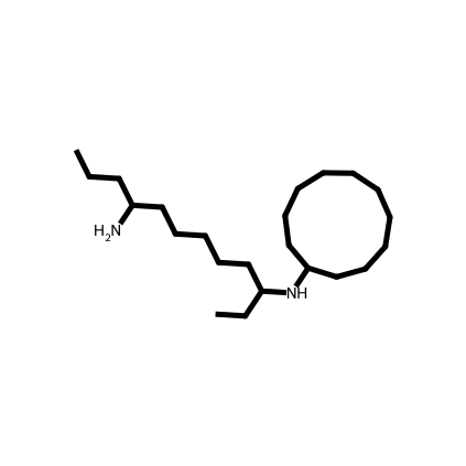 CCCC(N)CCCCCC(CC)NC1CCCCCCCCCC1